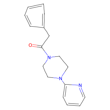 O=C(Cc1ccccc1)N1CCN(c2ccccn2)CC1